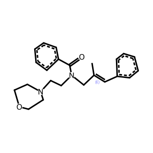 C/C(=C\c1ccccc1)CN(CCN1CCOCC1)C(=O)c1ccccc1